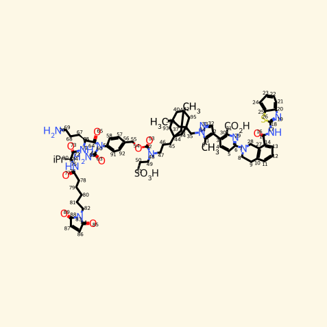 Cc1c(-c2ccc(N3CCc4cccc(C(=O)Nc5nc6ccccc6s5)c4C3)nc2C(=O)O)cnn1CC12CC3(C)CC(C)(CC(CCCN(CCS(=O)(=O)O)C(=O)OCc4ccc(N(C(N)=O)C(=O)[C@H](CCCN)NC(=O)[C@@H](NC(=O)CCCCCN5C(=O)C=CC5=O)C(C)C)cc4)(C3)C1)C2